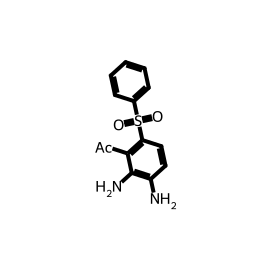 CC(=O)c1c(S(=O)(=O)c2ccccc2)ccc(N)c1N